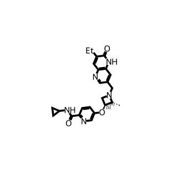 CCc1cc2ncc(CN3C[C@H](Oc4ccc(C(=O)NC5CC5)nc4)[C@H]3C)cc2[nH]c1=O